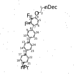 CCCCCCCCCCCCOc1ccc(-c2ccc(-c3ccc(-c4ccc(CCC)cc4)cc3)cc2)c(F)c1F